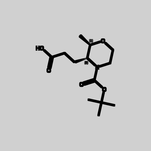 C[C@H]1OCCN(C(=O)OC(C)(C)C)[C@@H]1CCC(=O)O